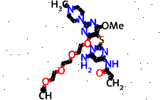 C#COCCOCCOCCOc1nc(N2CCN(C)CC2)nc(OC)c1Sc1nc(N)cc(NC(=O)C=C)n1